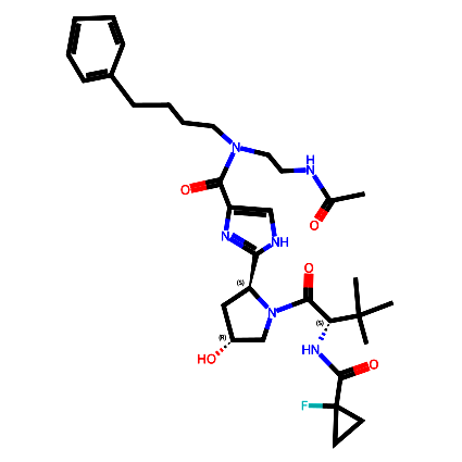 CC(=O)NCCN(CCCCc1ccccc1)C(=O)c1c[nH]c([C@@H]2C[C@@H](O)CN2C(=O)[C@@H](NC(=O)C2(F)CC2)C(C)(C)C)n1